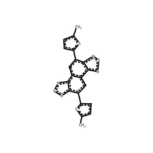 Cc1ccc(-c2cc3c(cc(-c4ccc(C)s4)c4nsnc43)c3nsnc23)s1